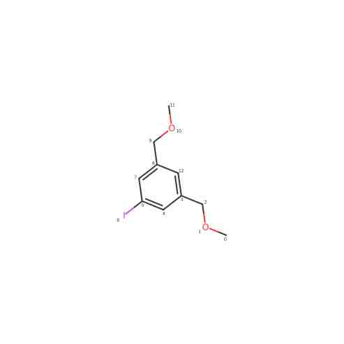 COCc1cc(I)cc(COC)c1